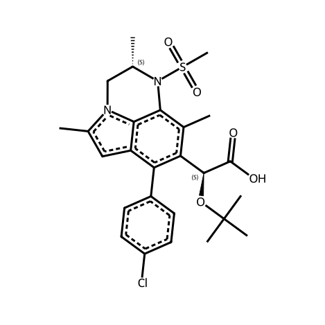 Cc1c([C@H](OC(C)(C)C)C(=O)O)c(-c2ccc(Cl)cc2)c2cc(C)n3c2c1N(S(C)(=O)=O)[C@@H](C)C3